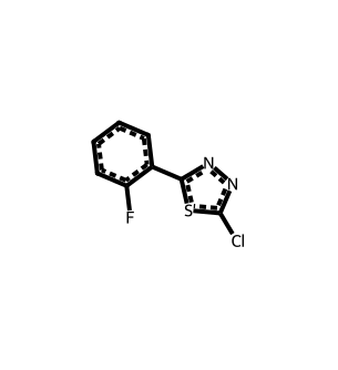 Fc1ccccc1-c1nnc(Cl)s1